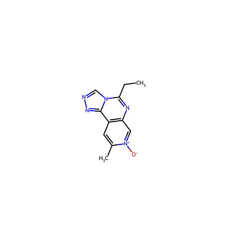 CCc1nc2c[n+]([O-])c(C)cc2c2nncn12